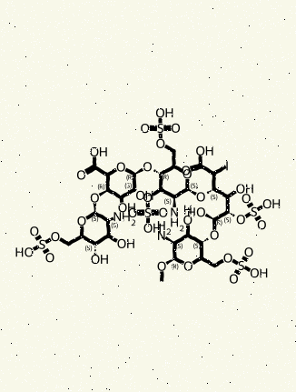 CO[C@@H]1OC(COS(=O)(=O)O)[C@@H](O[C@@H](O)[C@@H](OS(=O)(=O)O)C(O)[C@H](O[C@@H]2OC(COS(=O)(=O)O)[C@@H](O[C@@H]3OC(C(=O)O)[C@H](O[C@@H]4OC(COS(=O)(=O)O)[C@@H](O)C(O)[C@@H]4N)C(O)[C@@H]3O)C(OS(=O)(=O)O)[C@@H]2N)C(I)C(=O)O)C(O)[C@@H]1N